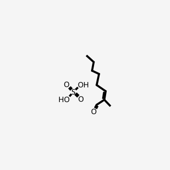 CCCCCC=C(C)C=O.O=S(=O)(O)O